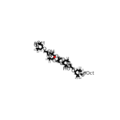 CCCCCCCCON1C(C)(C)CC(OCC(O)CN2C(C)(C)CC3(CC2(C)C)OCC2(CO3)COC3(CC(C)(C)N(CC(O)COC4CC(C)(C)N(OCCCCCCCC)C(C)(C)C4)C(C)(C)C3)OC2)CC1(C)C